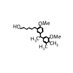 COc1ccc(C(C)c2cc(C)c(C)c(OC)c2)cc1CCCCCCO